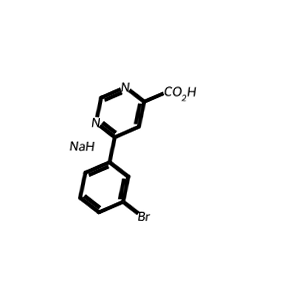 O=C(O)c1cc(-c2cccc(Br)c2)ncn1.[NaH]